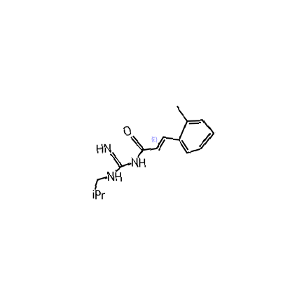 Cc1ccccc1/C=C/C(=O)NC(=N)NCC(C)C